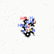 CC(=O)N[C@H](C(=O)N1C[C@H](O)C[C@H]1c1nc(C(=O)N(C)Cc2cccc(-c3scnc3C)c2)c[nH]1)C(C)(C)C